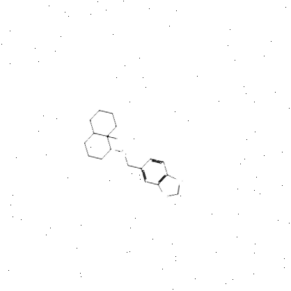 OC12CCCCC1CCC[C@@H]2NCc1ccc2c(c1)OCO2